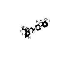 Cc1cccc(N2CCN(C(=O)Cn3nc(C(=O)O)c4c3C[C@H]3C[C@@H]43)CC2)c1C